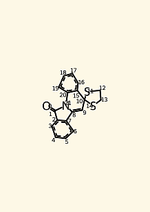 O=C1c2ccccc2C2=CC3(SCCS3)c3ccccc3N12